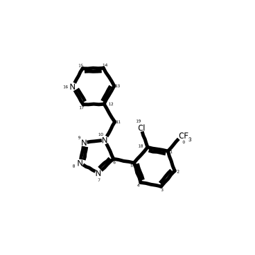 FC(F)(F)c1cccc(-c2nnnn2Cc2cccnc2)c1Cl